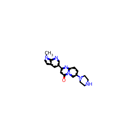 Cn1ccc2cc(-c3cc(=O)n4cc(N5CCNCC5)ccc4n3)cnc21